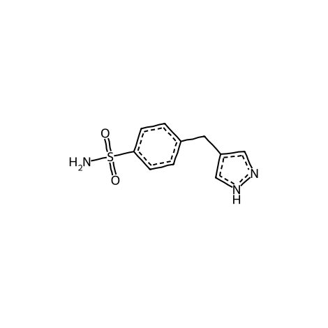 NS(=O)(=O)c1ccc(Cc2cn[nH]c2)cc1